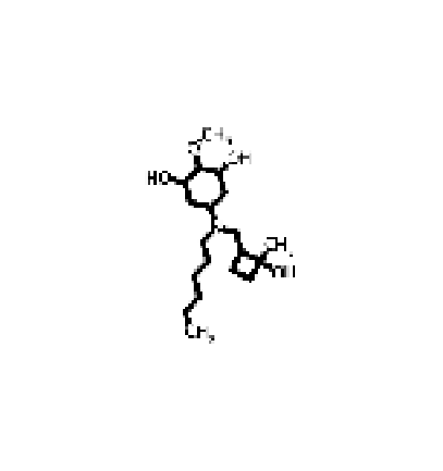 CCCCCCN(CC1CCC1(C)O)C1CC(O)C(OC)C(O)C1